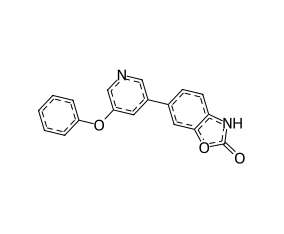 O=c1[nH]c2ccc(-c3cncc(Oc4ccccc4)c3)cc2o1